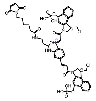 O=C(CCCCCN1C(=O)C=CC1=O)NCCC(O)Nc1cc(/C=C/C(=O)N2C[C@@H](CCl)c3c2cc(OP(=O)(O)O)c2ccccc32)ccc1/C=C/C(=O)N1C[C@@H](CCl)c2c1cc(OP(=O)(O)O)c1ccccc21